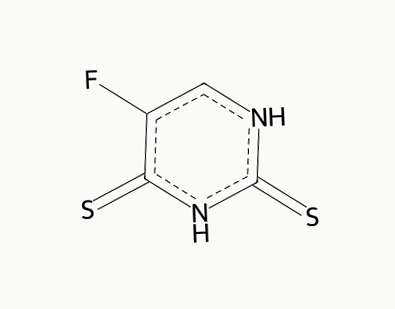 Fc1c[nH]c(=S)[nH]c1=S